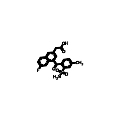 Cc1ccc(C(=O)c2cc(CC(=O)O)cc3ccc(F)cc23)c(S(N)(=O)=O)c1